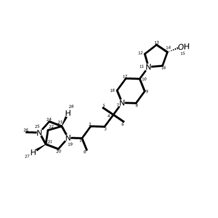 CC(CCC(C)(C)N1CCC(N2CC[C@H](O)C2)CC1)N1C[C@H]2C[C@@H]1CN2C